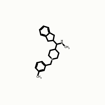 CNC(C1CCN(Cc2cccc(C)c2)CC1)C1Cc2ccccc2C1